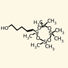 C[Si]1(C)O[Si](C)(C)O[Si](C)(/C=C/CCCO)O[Si](C)(C)O1